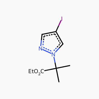 CCOC(=O)C(C)(C)n1cc(I)cn1